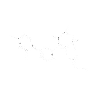 CCc1ccc(-c2ccc(Cl)cc2Cl)cc1C1=C(OC(=O)COC)C(C)(C)OC(C)(C)C1=O